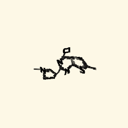 Cc1cc2c(Cl)nc(-c3ccn(C)c3)nc2s1